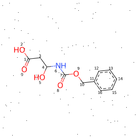 O=C(O)CC(O)NC(=O)OCc1ccccc1